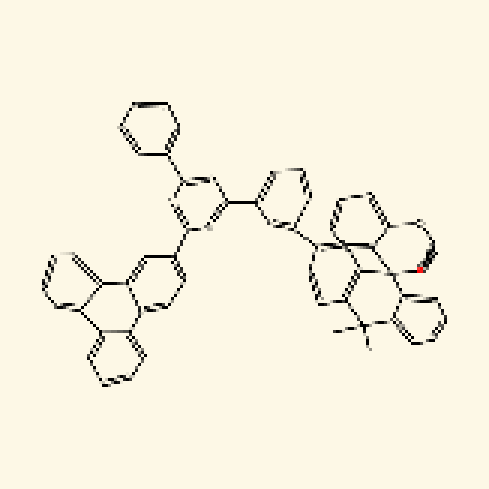 CC1(C)c2ccccc2C2(c3ccccc3Oc3ccccc32)c2cc(-c3cccc(-c4cc(-c5ccccc5)nc(-c5ccc6c7ccccc7c7ccccc7c6c5)n4)c3)ccc21